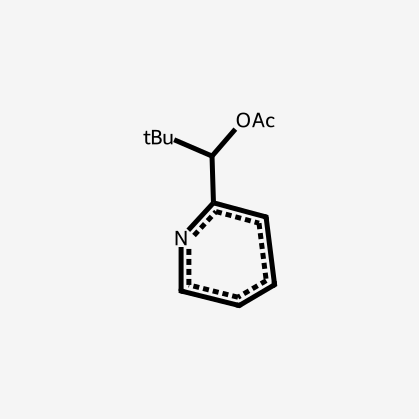 CC(=O)OC(c1ccccn1)C(C)(C)C